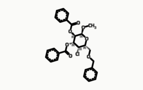 CO[C@H]1O[C@H](COCc2ccccc2)[C@H](Cl)[C@H](OC(=O)c2ccccc2)[C@H]1OC(=O)c1ccccc1